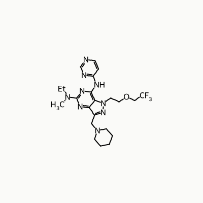 CCN(C)c1nc(Nc2ccncn2)c2c(n1)c(CN1CCCCC1)nn2CCOCC(F)(F)F